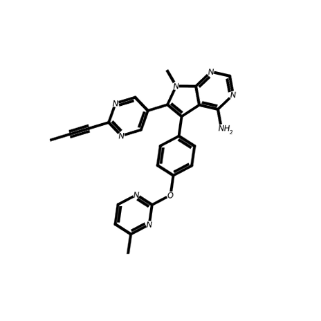 CC#Cc1ncc(-c2c(-c3ccc(Oc4nccc(C)n4)cc3)c3c(N)ncnc3n2C)cn1